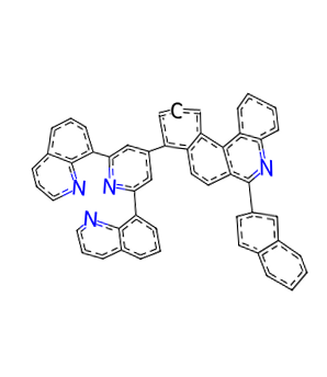 c1ccc2cc(-c3nc4ccccc4c4c3ccc3c(-c5cc(-c6cccc7cccnc67)nc(-c6cccc7cccnc67)c5)cccc34)ccc2c1